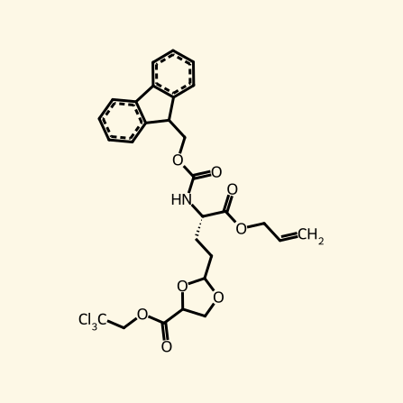 C=CCOC(=O)[C@H](CCC1OCC(C(=O)OCC(Cl)(Cl)Cl)O1)NC(=O)OCC1c2ccccc2-c2ccccc21